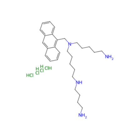 Cl.Cl.Cl.Cl.NCCCCCN(CCCCCNCCCCN)Cc1c2ccccc2cc2ccccc12